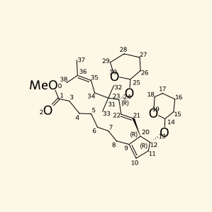 COC(=O)CCCCCCC1=CC[C@@H](OC2CCCCO2)[C@@H]1C=C[C@@H](OC1CCCCO1)C(C)(C)CC=C(C)C